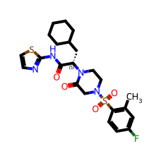 Cc1cc(F)ccc1S(=O)(=O)N1CCN([C@@H](CC2CCCCC2)C(=O)Nc2nccs2)C(=O)C1